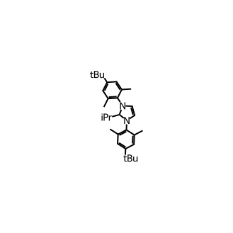 Cc1cc(C(C)(C)C)cc(C)c1N1C=CN(c2c(C)cc(C(C)(C)C)cc2C)C1C(C)C